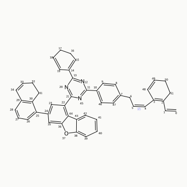 C=CC1=C(/C=C\Cc2ccc(-c3nc(C4=CCCC=C4)nc(-c4cc(-c5cccc6c5CCC=C6)cc5oc6ccccc6c45)n3)cc2)C=CCC1